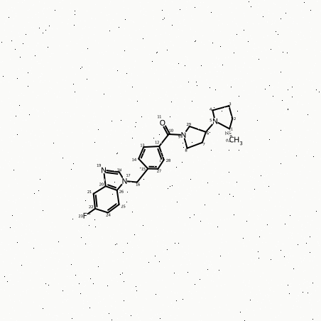 C[C@H]1CCCN1C1CCN(C(=O)c2ccc(Cn3cnc4cc(F)ccc43)cc2)C1